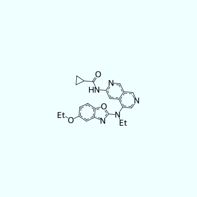 CCOc1ccc2oc(N(CC)c3cncc4cnc(NC(=O)C5CC5)cc34)nc2c1